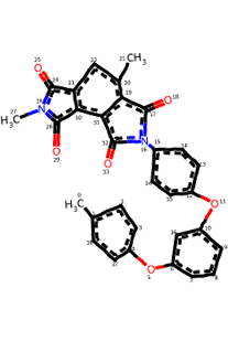 Cc1ccc(Oc2cccc(Oc3ccc(-n4c(=O)c5c(C)cc6c(=O)n(C)c(=O)c6c5c4=O)cc3)c2)cc1